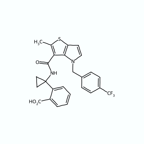 Cc1sc2ccn(Cc3ccc(C(F)(F)F)cc3)c2c1C(=O)NC1(c2ccccc2C(=O)O)CC1